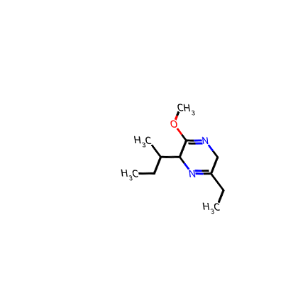 CCC1=NC(C(C)CC)C(OC)=NC1